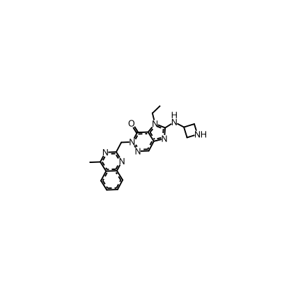 CCn1c(NC2CNC2)nc2cnn(Cc3nc(C)c4ccccc4n3)c(=O)c21